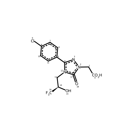 O=C(O)Cn1nc(-c2ccc(Cl)cc2)n(C[C@@H](O)C(F)(F)F)c1=O